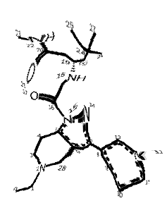 CCN1CCc2c(c(-c3cccnc3)nn2C(=O)N[C@H](C(=O)NC)C(C)(C)C)C1